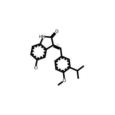 COc1ccc(/C=C2/C(=O)Nc3ccc(Cl)cc32)cc1C(C)C